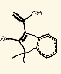 C=C(O)C1=C(CC)C(C)(C)c2ccccc21